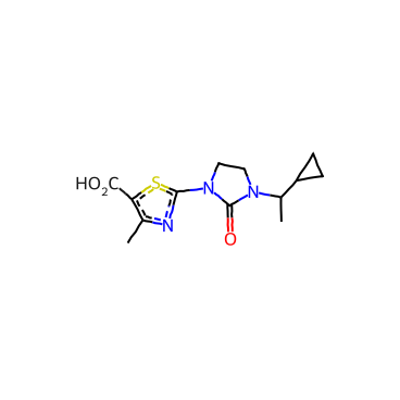 Cc1nc(N2CCN(C(C)C3CC3)C2=O)sc1C(=O)O